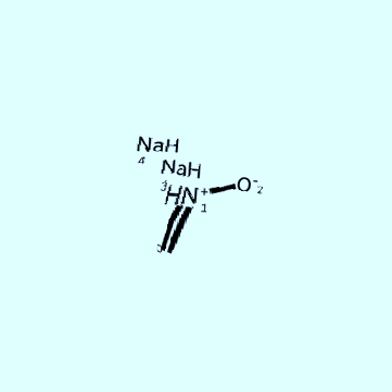 C=[NH+][O-].[NaH].[NaH]